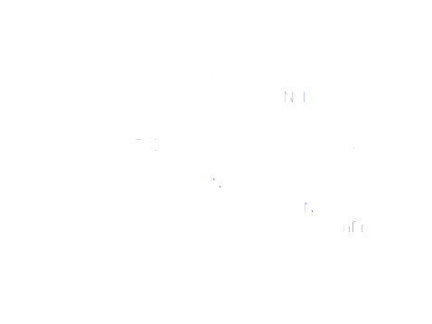 CCCN1C(=O)C(NC(=O)OCc2ccccc2)=CN(CC(F)(F)F)c2ccccc21